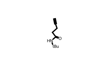 C#CCCC(=O)NC(C)(C)C